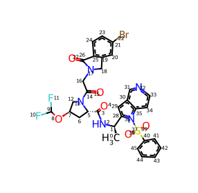 C[C@@H](NC(=O)[C@@H]1C[C@@H](OC(F)F)CN1C(=O)CN1Cc2cc(Br)ccc2C1=O)c1cc2cnccc2n1S(=O)(=O)c1ccccc1